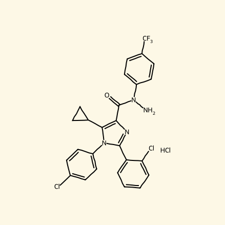 Cl.NN(C(=O)c1nc(-c2ccccc2Cl)n(-c2ccc(Cl)cc2)c1C1CC1)c1ccc(C(F)(F)F)cc1